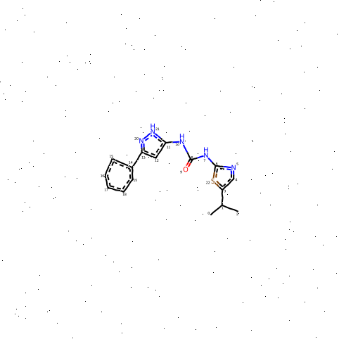 CC(C)c1cnc(NC(=O)Nc2cc(-c3ccccc3)n[nH]2)s1